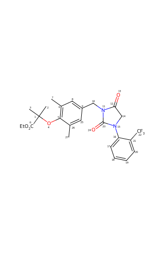 CCOC(=O)C(C)(C)Oc1c(C)cc(CN2C(=O)CN(c3ccccc3C(F)(F)F)C2=O)cc1C